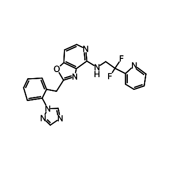 FC(F)(CNc1nccc2oc(Cc3ccccc3-n3cncn3)nc12)c1ccccn1